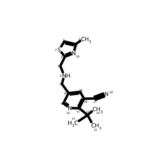 Cc1csc(CNCc2cnc(C(C)(C)C)c(C#N)c2)n1